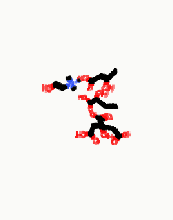 CC(O)CC(=O)O.CCC(O)C(=O)O.C[N+](C)(C)CCO.O=C(O)CC(O)(CC(=O)O)C(=O)[O-]